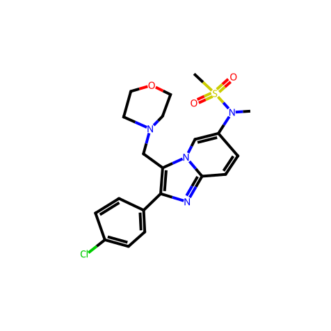 CN(c1ccc2nc(-c3ccc(Cl)cc3)c(CN3CCOCC3)n2c1)S(C)(=O)=O